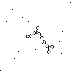 c1ccc(-n2c3ccccc3c3cc(-c4ccc(-c5ccc(-c6ccc7c(c6)c6cc(-c8ccc9ccccc9c8)ccc6n7-c6ccccc6)cc5)cc4)ccc32)cc1